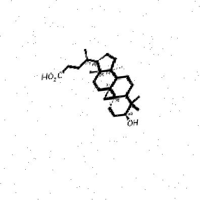 C[C@H](CCC(=O)O)[C@H]1CC[C@@]2(C)C3CCC4C(C)(C)[C@@H](O)CC[C@@]45C[C@@]35CC[C@]12C